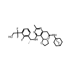 Cc1nc(CC(=O)NC23CCC(CC2)CC3)c(C2OCCO2)c(N[C@H](C)c2cccc(C(F)(F)CO)c2F)n1